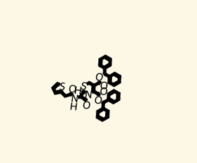 O=C(Cc1cccs1)NC1C(=O)N2C(C(=O)OC(c3ccccc3)c3ccccc3)=C(C(=O)OC(c3ccccc3)c3ccccc3)CS[C@H]12